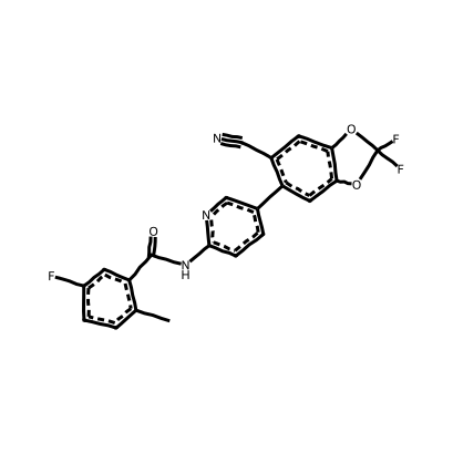 Cc1ccc(F)cc1C(=O)Nc1ccc(-c2cc3c(cc2C#N)OC(F)(F)O3)cn1